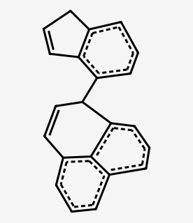 C1=Cc2c(cccc2C2C=Cc3cccc4cccc2c34)C1